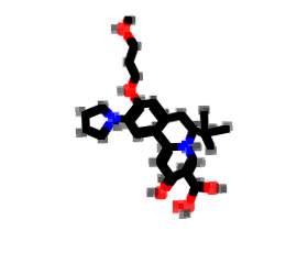 COCCCOc1cc2c(cc1N1CCCC1)-c1cc(=O)c(C(=O)O)cn1[C@H](C(C)(C)C)C2